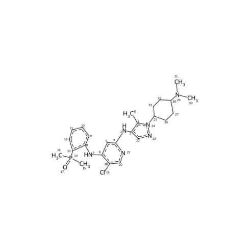 Cc1c(Nc2cc(Nc3ccccc3P(C)(C)=O)c(Cl)cn2)cnn1C1CCC(N(C)C)CC1